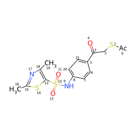 CC(=O)SCC(=O)c1ccc(NS(=O)(=O)c2sc(C)nc2C)cc1